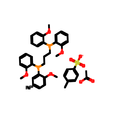 CC(=O)[O-].COc1ccccc1P(CCCP(c1ccccc1OC)c1ccccc1OC)c1ccccc1OC.Cc1ccc(S(=O)(=O)[O-])cc1.[Pd+2]